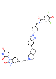 Cn1c(=O)n(C2CCC(=O)NC2=O)c2ccc(CCCN3CCc4ccc(-c5ccc6cn([C@H]7CC[C@H](CNC(=O)c8cc(F)c(O)c(F)c8F)CC7)nc6c5)cc4C3)cc21